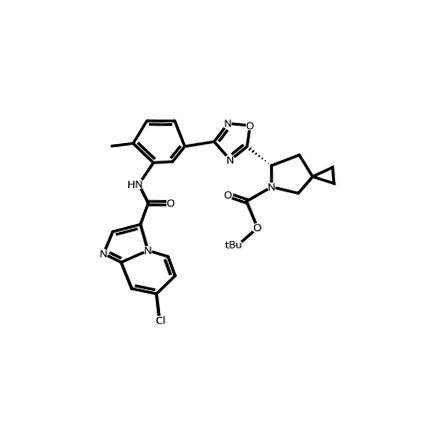 Cc1ccc(-c2noc([C@@H]3CC4(CC4)CN3C(=O)OC(C)(C)C)n2)cc1NC(=O)c1cnc2cc(Cl)ccn12